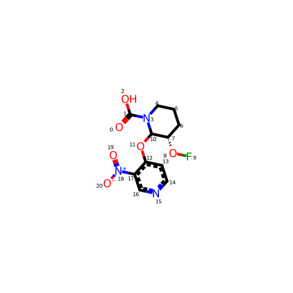 O=C(O)N1CCC[C@H](OF)C1Oc1ccncc1[N+](=O)[O-]